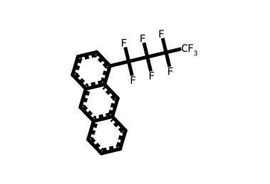 FC(F)(F)C(F)(F)C(F)(F)C(F)(F)c1cccc2cc3ccccc3cc12